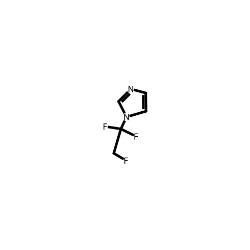 FCC(F)(F)n1ccnc1